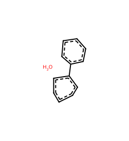 O.c1ccc(-c2ccccc2)cc1